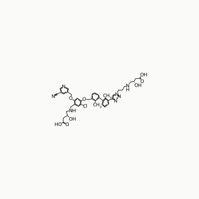 Cc1c(COc2cc(OCc3cncc(C#N)c3)c(CNC[C@@H](O)CC(=O)O)cc2Cl)cccc1-c1cccc(-c2cn(CCCNC[C@@H](O)CC(=O)O)nn2)c1C